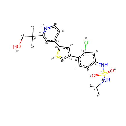 CC(C)NS(=O)(=O)Nc1ccc(-c2csc(-c3ccnc(C(C)(C)CO)c3)c2)c(Cl)c1